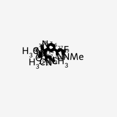 CNc1ncc(-c2ccc3ncc4c(c3c2)n(-c2cn(C)nc2C)c(=O)n4C)cc1F